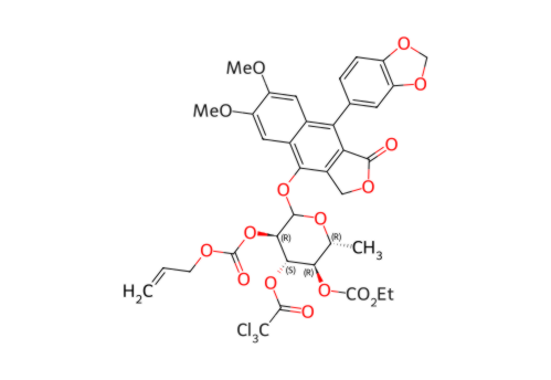 C=CCOC(=O)O[C@H]1C(Oc2c3c(c(-c4ccc5c(c4)OCO5)c4cc(OC)c(OC)cc24)C(=O)OC3)O[C@H](C)[C@@H](OC(=O)OCC)[C@@H]1OC(=O)C(Cl)(Cl)Cl